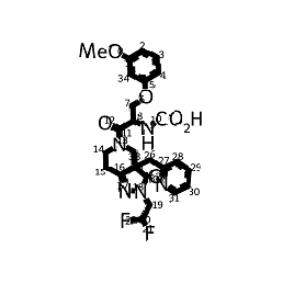 COc1cccc(OCC(NC(=O)O)C(=O)N2CCC3=NN(CC(F)F)C(=O)C3(Cc3ccccn3)C2)c1